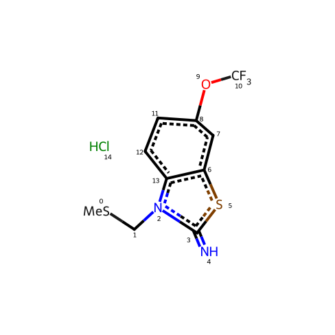 CSCn1c(=N)sc2cc(OC(F)(F)F)ccc21.Cl